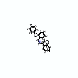 C(=C/c1coc2cnccc12)/c1ccccc1Oc1ccccc1